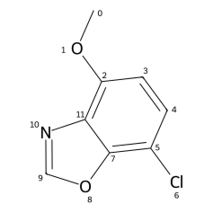 COc1ccc(Cl)c2ocnc12